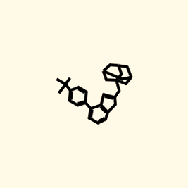 CC(C)(C)c1ccc(-c2cccc3c2C=C(CC24CC5CC(CC(C5)C2)C4)C3)cc1